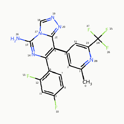 Cc1cc(-c2c(-c3ccc(F)cc3F)nc(N)n3cnnc23)cc(C(F)(F)F)n1